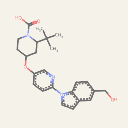 CC(C)(C)C1CC(Oc2ccc(-n3ccc4cc(CO)ccc43)nc2)CCN1C(=O)O